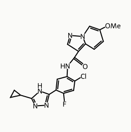 COc1ccc2c(C(=O)Nc3cc(-c4nnc(C5CC5)[nH]4)c(F)cc3Cl)cnn2c1